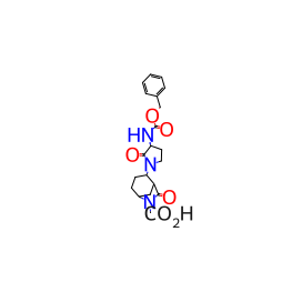 O=C(N[C@H]1CCN(C2CCC3CC2C(=O)N3C(=O)O)C1=O)OCc1ccccc1